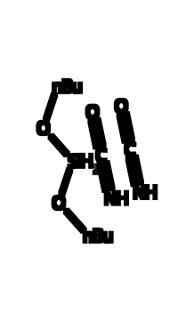 CCCCO[SiH2]OCCCC.N=C=O.N=C=O